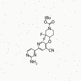 CC(C)(C)OC(=O)N1CCC(Oc2cnc(-c3ccnc(N)n3)cc2C#N)C(F)(F)C1